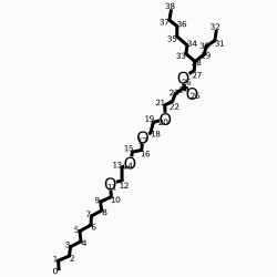 CCCCCCCCCCCOCCOCCOCCOCCCC(=O)OCC(CCCC)CCCCCC